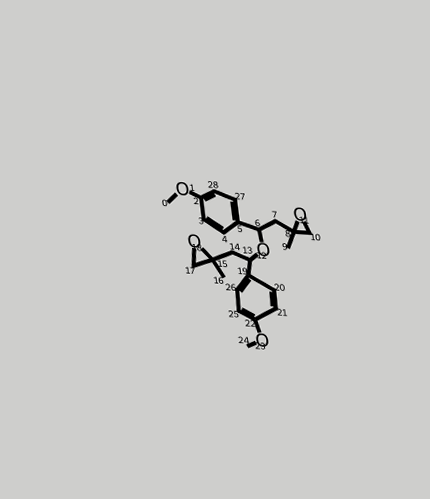 COc1ccc(C(CC2(C)CO2)OC(CC2(C)CO2)c2ccc(OC)cc2)cc1